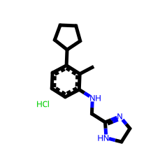 Cc1c(NCC2=NCCN2)cccc1C1CCCC1.Cl